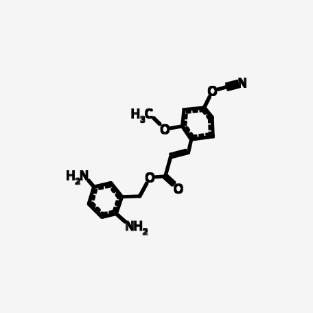 COc1cc(OC#N)ccc1/C=C/C(=O)OCc1cc(N)ccc1N